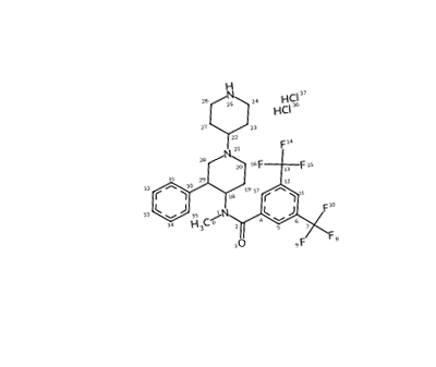 CN(C(=O)c1cc(C(F)(F)F)cc(C(F)(F)F)c1)C1CCN(C2CCNCC2)CC1c1ccccc1.Cl.Cl